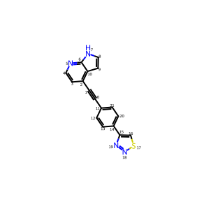 C(#Cc1ccnc2[nH]ccc12)c1ccc(-c2csnn2)cc1